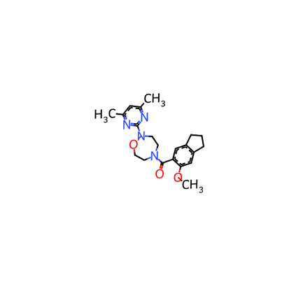 COc1cc2c(cc1C(=O)N1CCON(c3nc(C)cc(C)n3)CC1)CCC2